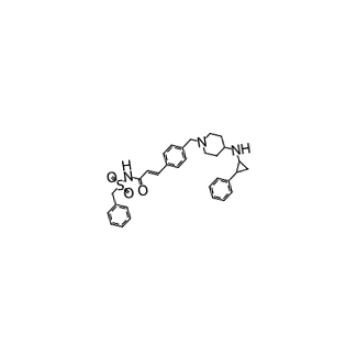 O=C(C=Cc1ccc(CN2CCC(NC3CC3c3ccccc3)CC2)cc1)NS(=O)(=O)Cc1ccccc1